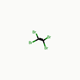 BrC(Br)=C(Br)Br